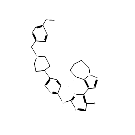 C[C@@H]1CCCCn2ncc(-c3nc(Nc4ccc(C5CCN(Cc6ccc(CCl)cc6)CC5)cn4)ncc3F)c21